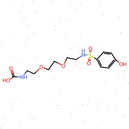 O=C(O)NCCOCCOCCNS(=O)(=O)c1ccc(O)cc1